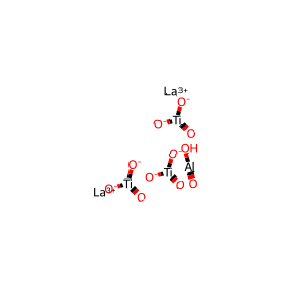 [La+3].[La+3].[O]=[Al][OH].[O]=[Ti]([O-])[O-].[O]=[Ti]([O-])[O-].[O]=[Ti]([O-])[O-]